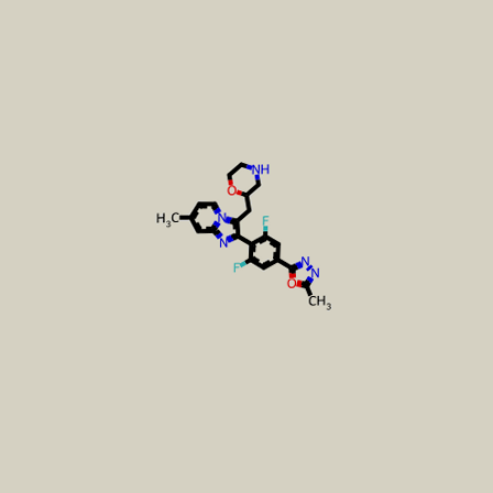 Cc1ccn2c(CC3CNCCO3)c(-c3c(F)cc(-c4nnc(C)o4)cc3F)nc2c1